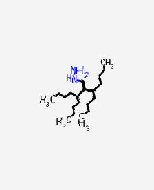 CCCCC(CCCC)C(CNN)C(CCCC)CCCC